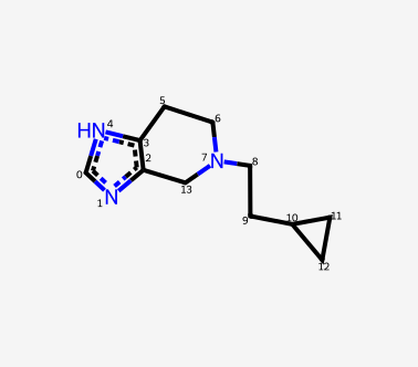 c1nc2c([nH]1)CCN(CCC1CC1)C2